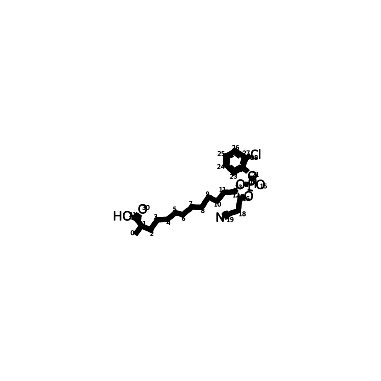 CC(CCCCCCCCCCCOP(=O)(OCCC#N)Oc1ccccc1Cl)C(=O)O